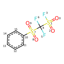 O=S(=O)(F)C(F)(F)S(=O)(=O)c1ccccc1